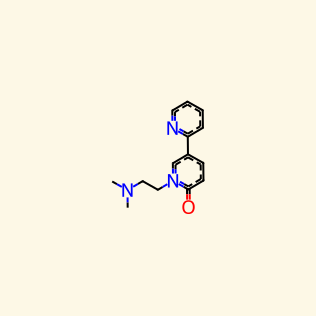 CN(C)CCn1cc(-c2ccccn2)ccc1=O